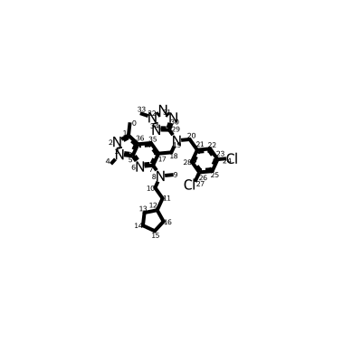 Cc1nn(C)c2nc(N(C)CCC3CCCC3)c(CN(Cc3cc(Cl)cc(Cl)c3)c3nnn(C)n3)cc12